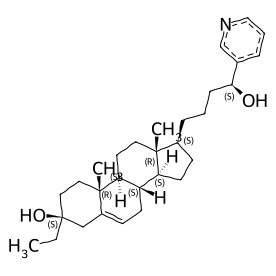 CC[C@]1(O)CC[C@@]2(C)C(=CC[C@H]3[C@@H]4CC[C@H](CCC[C@H](O)c5cccnc5)[C@@]4(C)CC[C@@H]32)C1